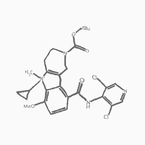 COc1ccc(C(=O)Nc2c(Cl)cncc2Cl)c2c1[N+](C)(C1CC1)C1=C2CN(C(=O)OC(C)(C)C)CC1